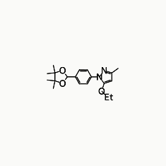 CCOc1cc(C)nn1-c1ccc(C2OC(C)(C)C(C)(C)O2)cc1